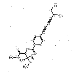 CSC(C)(C)C(NC(=O)c1ccc(C#CC#CC(C)CO)cc1)C(=O)NO